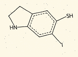 Sc1cc2c(cc1I)NCC2